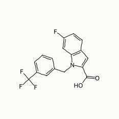 O=C(O)c1cc2ccc(F)cc2n1Cc1cccc(C(F)(F)F)c1